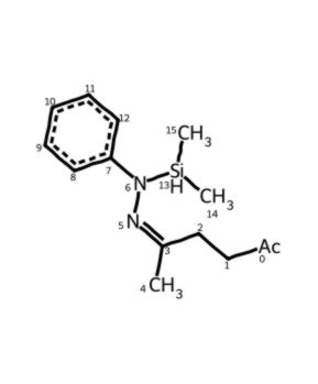 CC(=O)CCC(C)=NN(c1ccccc1)[SiH](C)C